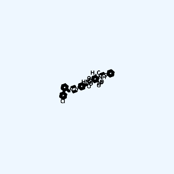 C[C@H](CSc1ccccc1)Nc1ccc(S(=O)(=O)NC(=O)c2ccc(N3CCN(Cc4ccccc4-c4ccc(Cl)cc4)CC3)cc2)cc1[N+](=O)[O-]